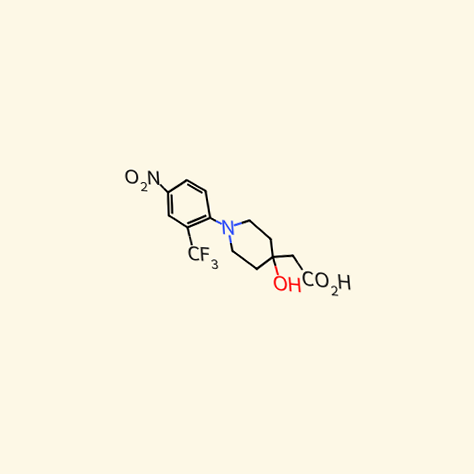 O=C(O)CC1(O)CCN(c2ccc([N+](=O)[O-])cc2C(F)(F)F)CC1